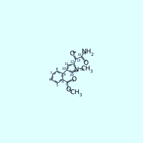 COC(=O)c1ccccc1-c1cc(C(=O)C(N)=O)n(C)c1